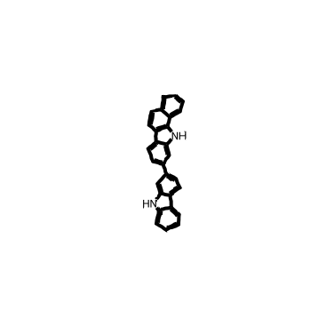 c1ccc2c(c1)ccc1c3ccc(-c4ccc5c(c4)[nH]c4ccccc45)cc3[nH]c21